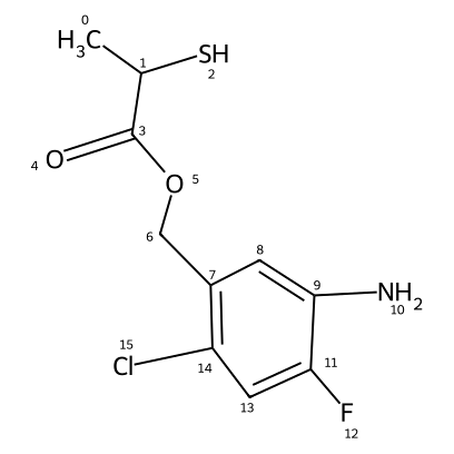 CC(S)C(=O)OCc1cc(N)c(F)cc1Cl